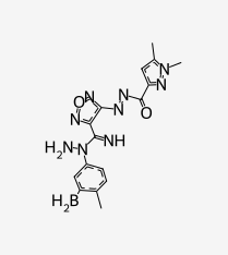 Bc1cc(N(N)C(=N)c2nonc2N=NC(=O)c2cc(C)n(C)n2)ccc1C